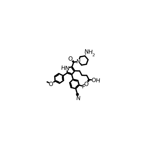 COc1ccc(-c2[nH]c(C(=O)N3CCC[C@@H](N)C3)c(CCCC(=O)O)c2-c2ccc(C#N)c(F)c2)cc1